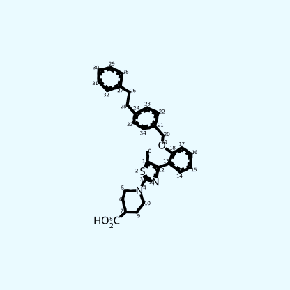 Cc1sc(N2CCC(C(=O)O)CC2)nc1-c1ccccc1OCc1ccc(CCc2ccccc2)cc1